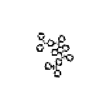 c1ccc(N(c2ccccc2)c2ccc(N(c3ccccc3)c3c4ccccc4c(N(c4ccccc4)c4ccc(N(c5ccccc5)c5ccccc5)cc4)c4ccccc34)cc2)cc1